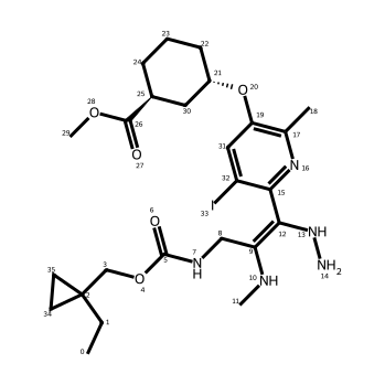 CCC1(COC(=O)NC/C(NC)=C(/NN)c2nc(C)c(O[C@H]3CCC[C@H](C(=O)OC)C3)cc2I)CC1